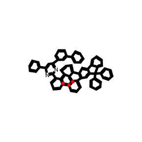 c1ccc(-c2cccc(-c3cc(-c4ccccc4)nc(-c4cccc(-c5cccc(-c6cc7c(cc6-c6cccc8ccccc68)-c6ccccc6C7(c6ccccc6)c6ccccc6)c5)c4)n3)c2)cc1